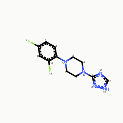 Fc1ccc(N2CCN(c3nc[nH]n3)CC2)c(F)c1